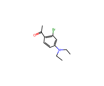 CCN(CC)c1ccc(C(C)=O)c(Br)c1